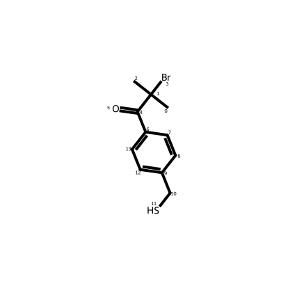 CC(C)(Br)C(=O)c1ccc(CS)cc1